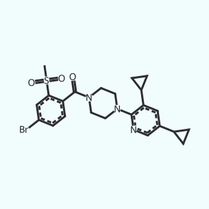 CS(=O)(=O)c1cc(Br)ccc1C(=O)N1CCN(c2ncc(C3CC3)cc2C2CC2)CC1